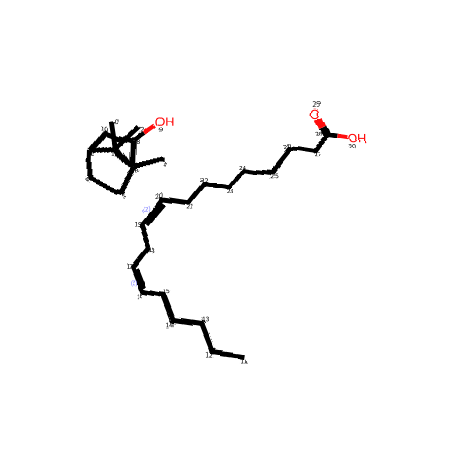 CC1(C)C2CCC1(C)C(O)C2.CCCCC/C=C\C/C=C\CCCCCCCC(=O)O